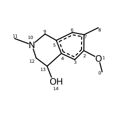 COc1cc2c(cc1C)CN(C)CC2O